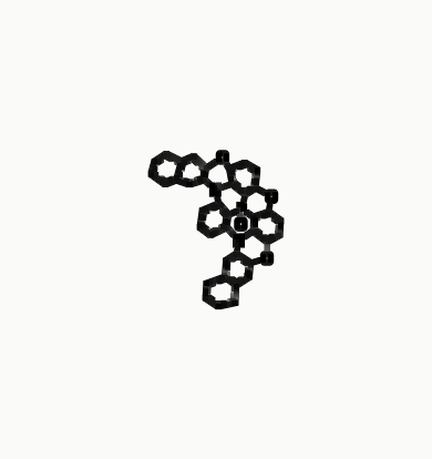 O=P12c3c4cccc3N3c5cc6ccccc6cc5Oc5ccc(c1c53)Oc1ccc3c(c12)N4c1cc2ccccc2cc1O3